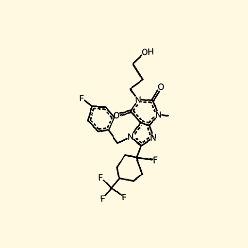 Cn1c(=O)n(CCCO)c(=O)c2c1nc(C1(F)CCC(C(F)(F)F)CC1)n2Cc1ccc(F)cc1